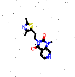 Cc1nc(C)c(CCn2c(=O)c3ccncc3n(C)c2=O)s1